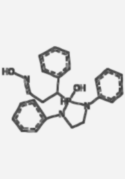 ON=CCC(c1ccccc1)[PH]1(O)N(c2ccccc2)CCN1c1ccccc1